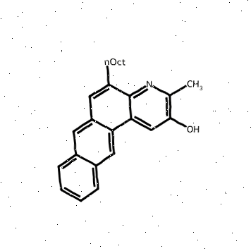 CCCCCCCCc1cc2cc3ccccc3cc2c2cc(O)c(C)nc12